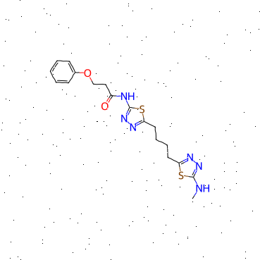 CNc1nnc(CCCCc2nnc(NC(=O)CCOc3ccccc3)s2)s1